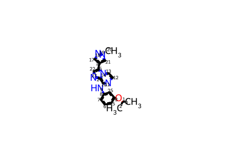 CC(C)Oc1cccc(Nc2nccn3c(-c4cnn(C)c4)cnc23)c1